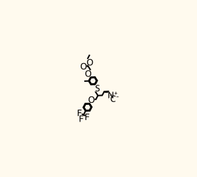 [C-]#[N+]/C=C\CC(COc1ccc(C(F)(F)F)cc1)CSc1ccc(OCC(=O)OCC)c(C)c1